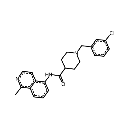 Cc1nccc2c(NC(=O)C3CCN(Cc4cccc(Cl)c4)CC3)cccc12